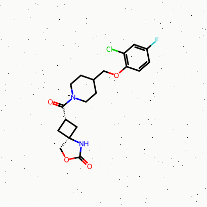 O=C1N[C@]2(CO1)C[C@@H](C(=O)N1CCC(COc3ccc(F)cc3Cl)CC1)C2